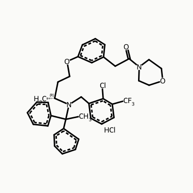 C[C@H](CCOc1cccc(CC(=O)N2CCOCC2)c1)N(Cc1cccc(C(F)(F)F)c1Cl)C(C)(c1ccccc1)c1ccccc1.Cl